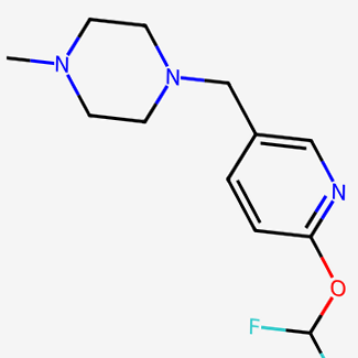 CN1CCN(Cc2ccc(OC(F)F)nc2)CC1